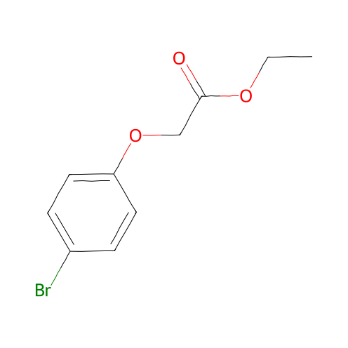 CCOC(=O)COc1ccc(Br)cc1